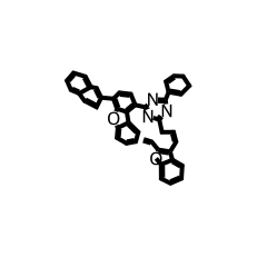 C=Cc1oc2ccccc2c1/C=C\Cc1nc(C2=CCCC=C2)nc(-c2ccc(-c3ccc4ccccc4c3)c3oc4ccccc4c23)n1